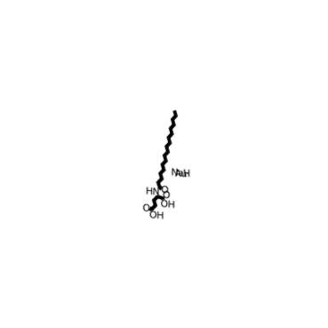 CCCCCCCCCCCCCCCCCC(=O)NC(CCC(=O)O)C(=O)O.[Au].[NaH]